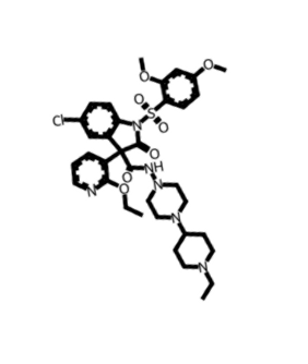 CCOc1ncccc1C1(C(=O)NN2CCN(C3CCN(CC)CC3)CC2)C(=O)N(S(=O)(=O)c2ccc(OC)cc2OC)c2ccc(Cl)cc21